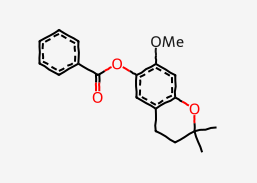 COc1cc2c(cc1OC(=O)c1ccccc1)CCC(C)(C)O2